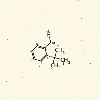 CC(C)(C)c1ccccc1CF